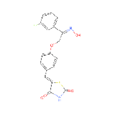 O=C1NC(=O)/C(=C/c2ccc(OC/C(=N\O)c3cccc(F)c3)cc2)S1